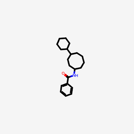 O=C(NC1CCCCC(C2CCCCC2)CC1)c1ccccc1